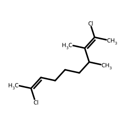 C/C(Cl)=C/CCCC(C)/C(C)=C(\C)Cl